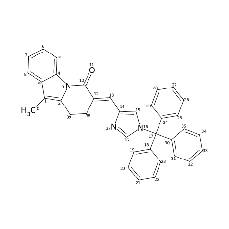 Cc1c2n(c3ccccc13)C(=O)C(=Cc1cn(C(c3ccccc3)(c3ccccc3)c3ccccc3)cn1)CC2